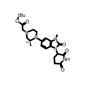 C[C@H]1CN(CC(=O)OC(C)(C)C)CCN1c1ccc2c(c1)n(C)c(=O)n2C1CCC(=O)NC1=O